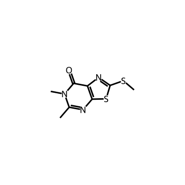 CSc1nc2c(=O)n(C)c(C)nc2s1